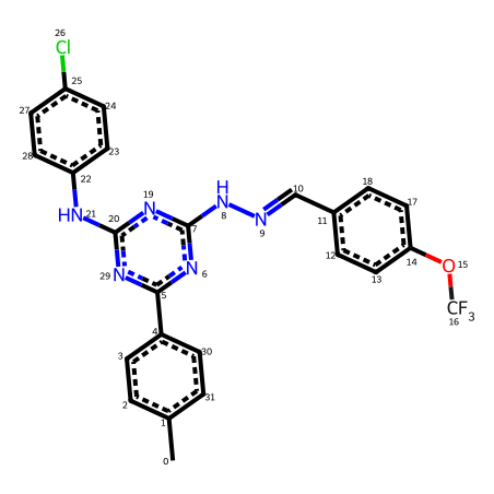 Cc1ccc(-c2nc(NN=Cc3ccc(OC(F)(F)F)cc3)nc(Nc3ccc(Cl)cc3)n2)cc1